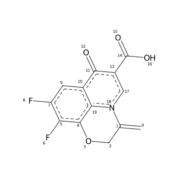 C=C1COc2c(F)c(F)cc3c(=O)c(C(=O)O)cn1c23